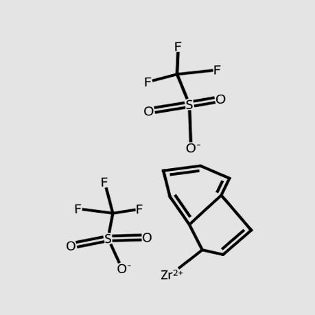 O=S(=O)([O-])C(F)(F)F.O=S(=O)([O-])C(F)(F)F.[Zr+2][CH]1C=Cc2ccccc21